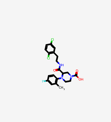 Cc1cc(F)ccc1N1CCN(C(=O)O)CC1C(=O)NCCc1cc(Cl)ccc1Cl